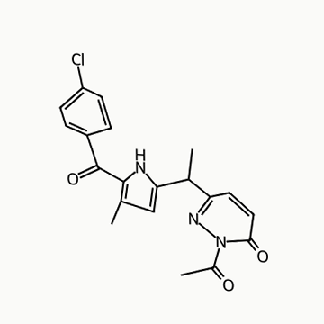 CC(=O)n1nc(C(C)c2cc(C)c(C(=O)c3ccc(Cl)cc3)[nH]2)ccc1=O